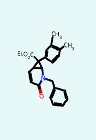 CCOC(=O)C1(c2ccc(C)c(C)c2)C2C=CC(=O)N(Cc3ccccc3)C21